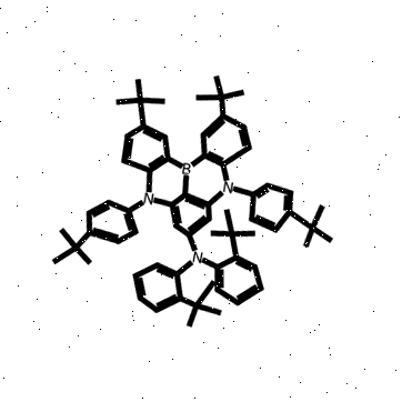 CC(C)(C)c1ccc(N2c3ccc(C(C)(C)C)cc3B3c4cc(C(C)(C)C)ccc4N(c4ccc(C(C)(C)C)cc4)c4cc(N(c5ccccc5C(C)(C)C)c5ccccc5C(C)(C)C)cc2c43)cc1